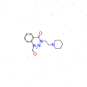 NN(CCN1CCCCC1)C(=O)c1ccccc1CC=O